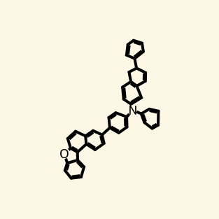 C1=CC(c2ccccc2)Cc2ccc(N(c3ccccc3)c3ccc(-c4ccc5c(ccc6oc7ccccc7c65)c4)cc3)cc21